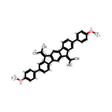 [C-]#[N+]/C(C#N)=C1/c2cc(-c3ccc(OC(F)(F)F)cc3)ccc2-c2cc3c(cc21)-c1ccc(-c2ccc(OC(F)(F)F)cc2)cc1/C3=C(/C#N)[N+]#[C-]